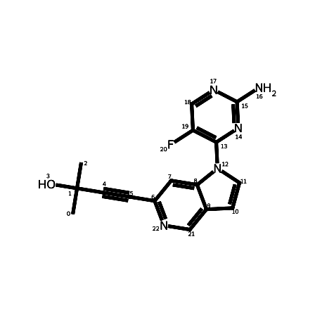 CC(C)(O)C#Cc1cc2c(ccn2-c2nc(N)ncc2F)cn1